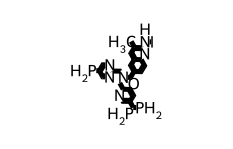 Cc1cc2cc(C(=O)N(Cc3ccc(C(P)P)cn3)Cc3ncc(P)cn3)ccc2nc1NI